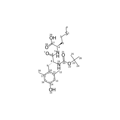 CSCC[C@@H](NC(=O)[C@@H](Cc1c(C)cc(O)cc1C)NC(=O)OC(C)(C)C)C(=O)O